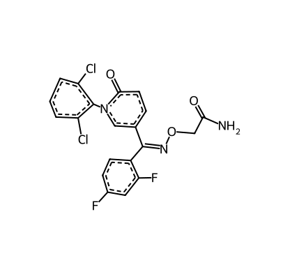 NC(=O)CO/N=C(\c1ccc(=O)n(-c2c(Cl)cccc2Cl)c1)c1ccc(F)cc1F